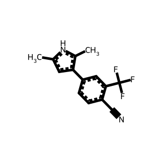 Cc1cc(-c2ccc(C#N)c(C(F)(F)F)c2)c(C)[nH]1